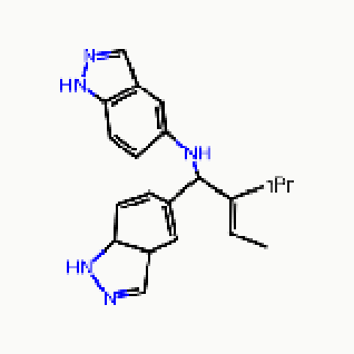 C/C=C(\CCC)C(Nc1ccc2[nH]ncc2c1)C1=CC2C=NNC2C=C1